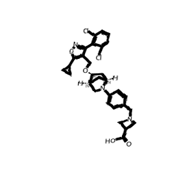 O=C(O)C1CN(Cc2ccc(N3C[C@@H]4C[C@H]3C[C@H]4OCc3c(-c4c(Cl)cccc4Cl)noc3C3CC3)cc2)C1